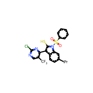 CC(C)c1ccc2c(-c3nc(Cl)ncc3C(F)(F)F)c(S)n(S(=O)(=O)c3ccccc3)c2c1